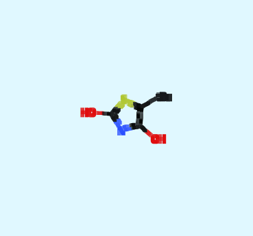 CC(C)(C)c1sc(O)nc1O